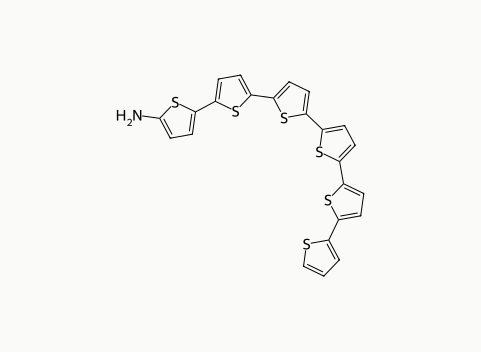 Nc1ccc(-c2ccc(-c3ccc(-c4ccc(-c5ccc(-c6cccs6)s5)s4)s3)s2)s1